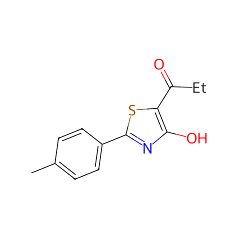 CCC(=O)c1sc(-c2ccc(C)cc2)nc1O